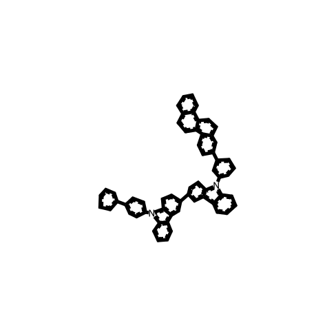 c1ccc(-c2ccc(-n3c4ccccc4c4cc(-c5ccc6c(c5)c5ccccc5n6-c5cccc(-c6ccc7c(ccc8c9ccccc9ccc78)c6)c5)ccc43)cc2)cc1